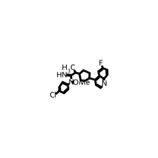 CON(C(=N)C(C)C1CCC(c2ccnc3ccc(F)cc23)CC1)c1ccc(Cl)cc1